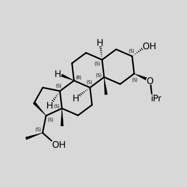 CC(C)O[C@H]1C[C@@]2(C)[C@@H](CC[C@@H]3[C@@H]2CC[C@]2(C)[C@@H]([C@H](C)O)CC[C@@H]32)C[C@@H]1O